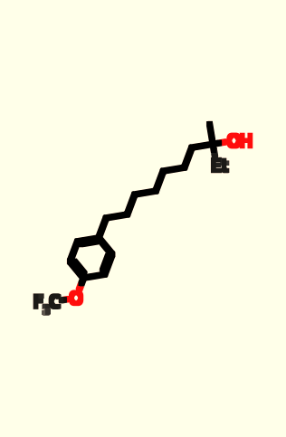 CCC(C)(O)CCCCCCCc1ccc(OC(F)(F)F)cc1